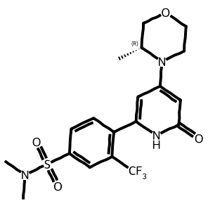 C[C@@H]1COCCN1c1cc(-c2ccc(S(=O)(=O)N(C)C)cc2C(F)(F)F)[nH]c(=O)c1